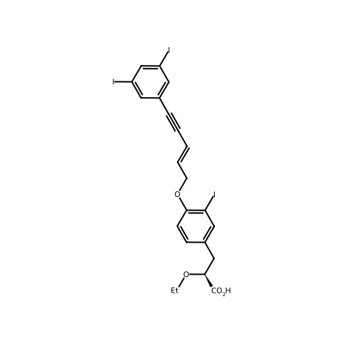 CCO[C@@H](Cc1ccc(OCC=CC#Cc2cc(I)cc(I)c2)c(I)c1)C(=O)O